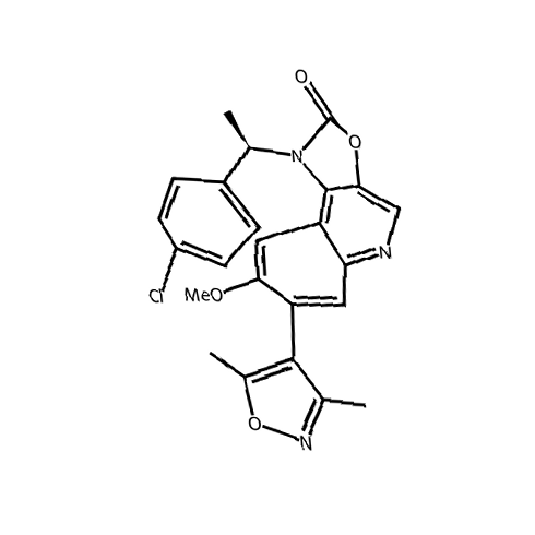 COc1cc2c(cc1-c1c(C)noc1C)ncc1oc(=O)n([C@H](C)c3ccc(Cl)cc3)c12